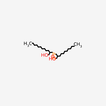 CCCCCCCCCCC(CO)C[PH](=O)CC(CO)CCCCCCCCCC